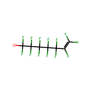 [O]C(F)(F)C(F)(F)C(F)(F)C(F)(F)C(F)(F)C(F)=C(F)F